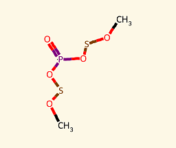 COSO[P](=O)OSOC